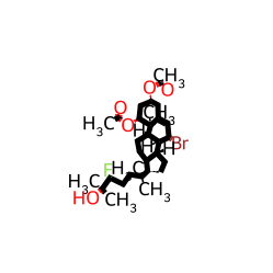 CC(=O)O[C@@H]1CC2=CC(Br)[C@H]3[C@@H]4CC[C@H]([C@H](C)CC[C@H](F)C(C)(C)O)[C@@]4(C)CC[C@@H]3[C@@]2(C)[C@@H](OC(C)=O)C1